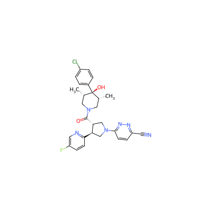 C[C@@H]1CN(C(=O)[C@@H]2CN(c3ccc(C#N)nn3)C[C@H]2c2ccc(F)cn2)C[C@H](C)[C@]1(O)c1ccc(Cl)cc1